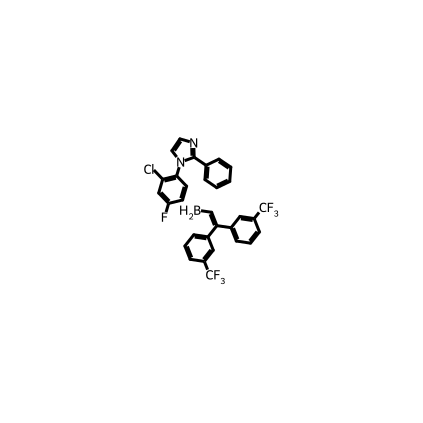 BC=C(c1cccc(C(F)(F)F)c1)c1cccc(C(F)(F)F)c1.Fc1ccc(-n2ccnc2-c2ccccc2)c(Cl)c1